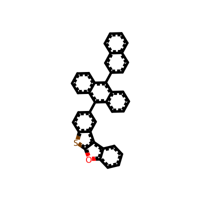 c1ccc2cc(-c3c4ccccc4c(-c4ccc5sc6oc7ccccc7c6c5c4)c4ccccc34)ccc2c1